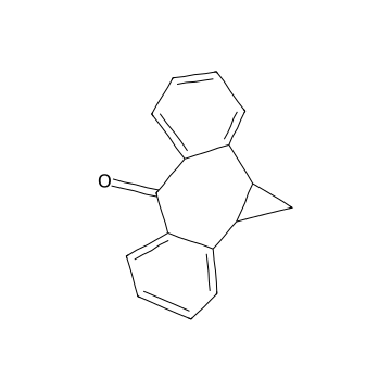 O=C1c2ccccc2C2CC2c2ccccc21